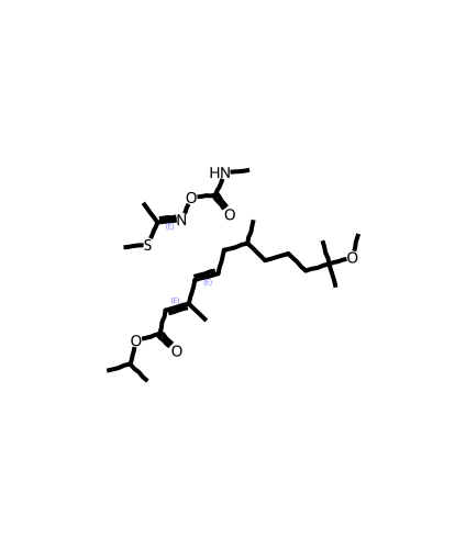 CNC(=O)O/N=C(\C)SC.COC(C)(C)CCCC(C)C/C=C/C(C)=C/C(=O)OC(C)C